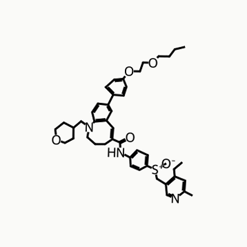 CCCCOCCOc1ccc(-c2ccc3c(c2)/C=C(/C(=O)Nc2ccc([S+]([O-])Cc4cnc(C)cc4CC)cc2)CCCN3CC2CCOCC2)cc1